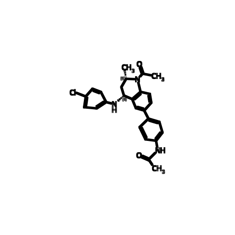 CC(=O)Nc1ccc(-c2ccc3c(c2)[C@H](Nc2ccc(Cl)cc2)C[C@H](C)N3C(C)=O)cc1